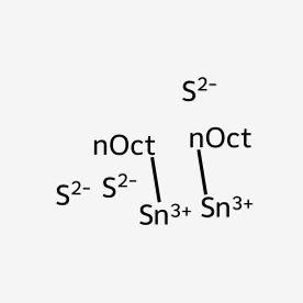 CCCCCCC[CH2][Sn+3].CCCCCCC[CH2][Sn+3].[S-2].[S-2].[S-2]